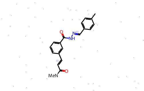 CNC(=O)/C=C/c1cccc(C(=O)N/N=C/c2ccc(C)cc2)c1